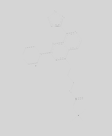 C[C@@H]1COCCN1c1cc(OCCNC(=O)OC(C)(C)C)c2ccnc(-c3ccn[nH]3)c2n1